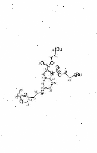 CC(C)(C)CCOC(=O)c1cc2cc(OCC[C@H]3COC(C)(C)O3)ccc2n1C(=O)OCCC(C)(C)C